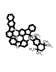 Cc1cc2c(cc1Nc1ccc3oc4ccccc4c3c1-c1c3c(cc4c1C(C)(C)c1ccccc1-4)-n1c4cc5ccccc5cc4c4cccc(c41)B3)C(C)(C)CCC2(C)C